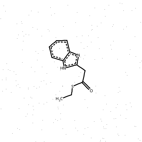 CCSC(=O)Cc1nc2ccccc2[nH]1